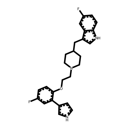 Fc1ccc(OCCN2CCC(Cc3c[nH]c4ccc(F)cc34)CC2)c(-c2cc[nH]c2)c1